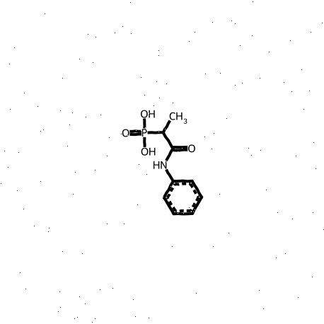 CC(C(=O)Nc1ccccc1)P(=O)(O)O